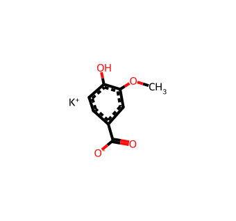 COc1cc(C(=O)[O-])ccc1O.[K+]